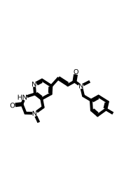 Cc1ccc(CN(C)C(=O)C=Cc2cnc3c(c2)CN(C)CC(=O)N3)cc1